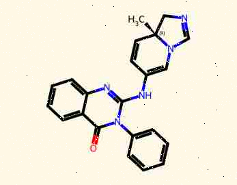 C[C@]12C=CC(Nc3nc4ccccc4c(=O)n3-c3ccccc3)=CN1C=NC2